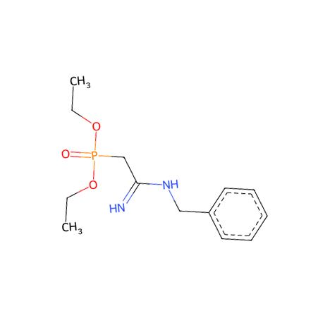 CCOP(=O)(CC(=N)NCc1ccccc1)OCC